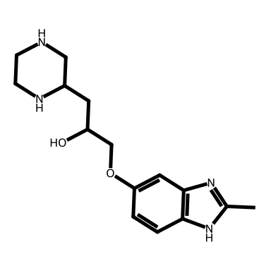 Cc1nc2cc(OCC(O)CC3CNCCN3)ccc2[nH]1